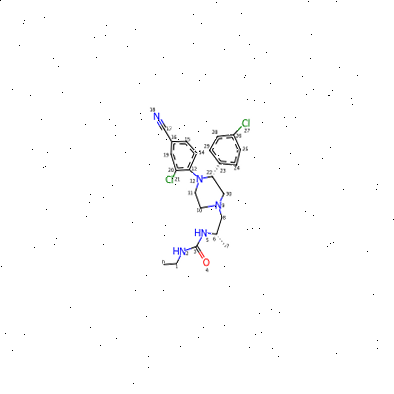 CCNC(=O)N[C@@H](C)CN1CCN(c2ccc(C#N)cc2Cl)[C@H](c2ccc(Cl)cc2)C1